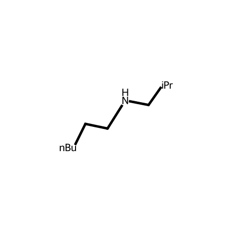 [CH2]CCCCCNCC(C)C